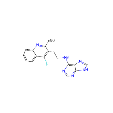 CCCCc1nc2ccccc2c(F)c1CCNc1ncnc2[nH]cnc12